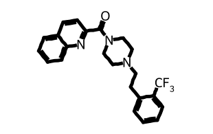 O=C(c1ccc2ccccc2n1)N1CCN(CCc2ccccc2C(F)(F)F)CC1